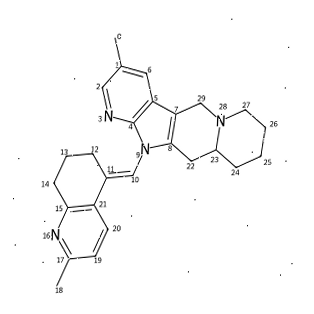 Cc1cnc2c(c1)c1c(n2/C=C2\CCCc3nc(C)ccc32)CC2CCCCN2C1